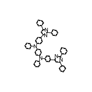 c1ccc(-c2cc(-c3ccc(N(c4ccccc4)c4ccc(N(c5ccccc5)c5ccc(-c6cc(-c7ccccc7)nc(-c7ccccc7)n6)cc5)cc4)cc3)nc(-c3ccccc3)n2)cc1